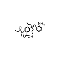 CCCC(CCC)(Oc1ccccc1N)c1ccc(NC(=O)CC)c(C(=O)O)c1